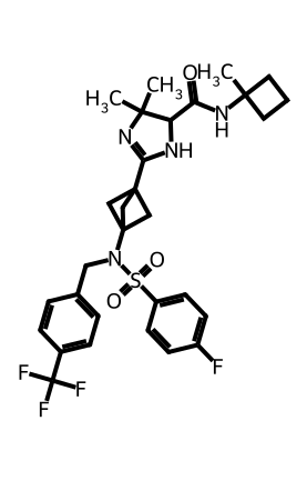 CC1(NC(=O)C2NC(C34CC(N(Cc5ccc(C(F)(F)F)cc5)S(=O)(=O)c5ccc(F)cc5)(C3)C4)=NC2(C)C)CCC1